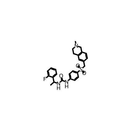 CC(NC(=O)Nc1ccc(S(=O)(=O)Cc2ccc3c(c2)CCN(C)C3)cc1)c1ccccc1F